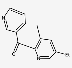 CCc1cnc(C(=O)c2cccnc2)c(C)c1